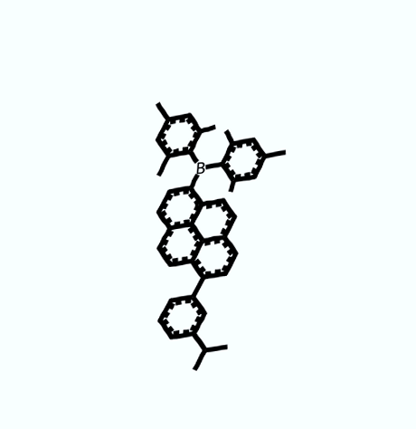 Cc1cc(C)c(B(c2c(C)cc(C)cc2C)c2ccc3ccc4c(-c5cccc(C(C)C)c5)ccc5ccc2c3c54)c(C)c1